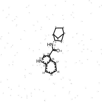 O=C(N[C@H]1[CH]C2CCC1C2)c1c[nH]c2ccccc12